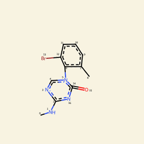 CNc1ncn(-c2c(C)cccc2Br)c(=O)n1